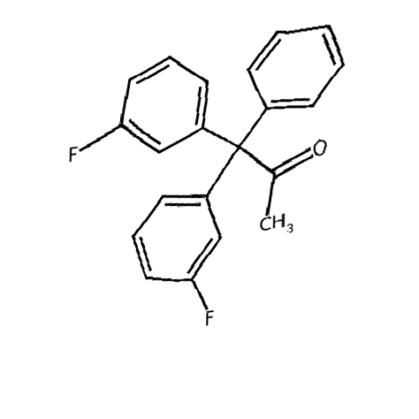 CC(=O)C(c1ccccc1)(c1cccc(F)c1)c1cccc(F)c1